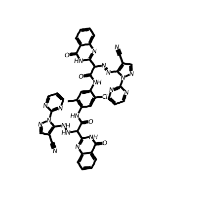 Cc1cc(NC(=O)C(N=Nc2c(C#N)cnn2-c2ncccn2)c2nc3ccccc3c(=O)[nH]2)c(Cl)cc1NC(=O)C(NNc1c(C#N)cnn1-c1ncccn1)c1nc2ccccc2c(=O)[nH]1